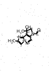 Cc1cn2ncc3c(c2n1)C(C)(C)CN3C=O